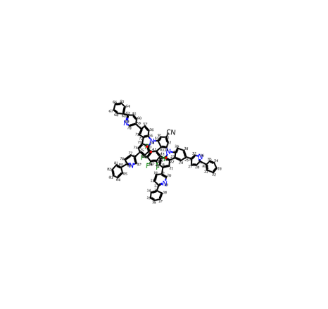 N#Cc1cc(-n2c3ccc(-c4ccc(-c5ccccc5)nc4)cc3c3cc(-c4ccc(-c5ccccc5)nc4)ccc32)c(-c2c(F)c(F)c(F)c(F)c2F)c(-n2c3ccc(-c4ccc(-c5ccccc5)nc4)cc3c3cc(-c4ccc(-c5ccccc5)nc4)ccc32)c1